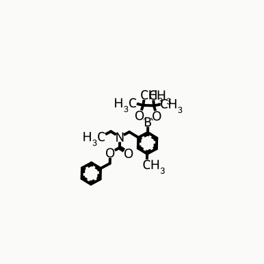 CCN(Cc1cc(C)ccc1B1OC(C)(C)C(C)(C)O1)C(=O)OCc1ccccc1